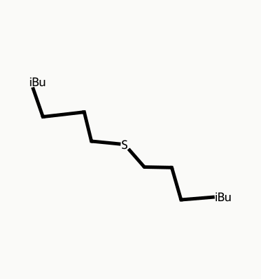 CCC(C)CCCSCCCC(C)CC